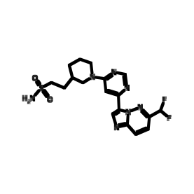 NS(=O)(=O)CCC1CCCN(c2cc(-c3cnc4ccc(C(F)F)nn34)ncn2)C1